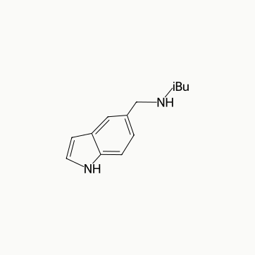 CCC(C)NCc1ccc2[nH]ccc2c1